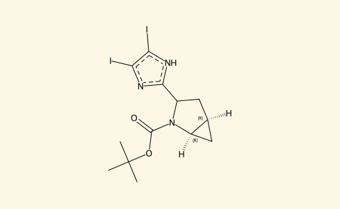 CC(C)(C)OC(=O)N1C(c2nc(I)c(I)[nH]2)C[C@H]2C[C@H]21